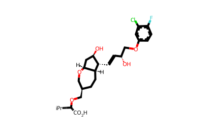 CC(C)C(OC[C@@H]1CC[C@@H]2[C@@H](/C=C/[C@@H](O)COc3ccc(F)c(Cl)c3)[C@H](O)C[C@@H]2OC1)C(=O)O